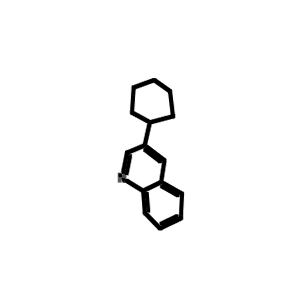 c1ccc2ncc(C3CCCCC3)cc2c1